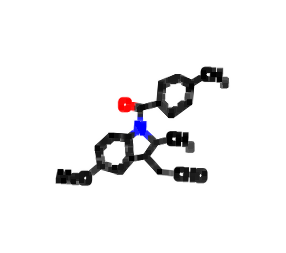 COc1ccc2c(c1)C(CC=O)C(C)N2C(=O)c1ccc(C)cc1